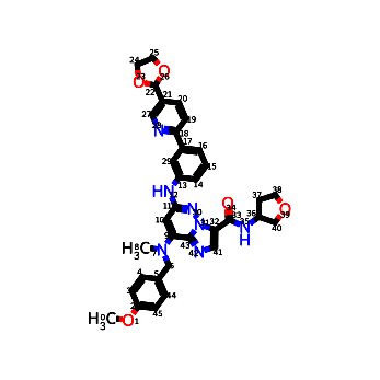 COc1ccc(CN(C)c2cc(Nc3cccc(-c4ccc(C5OCCO5)cn4)c3)nn3c(C(=O)NC4CCOC4)cnc23)cc1